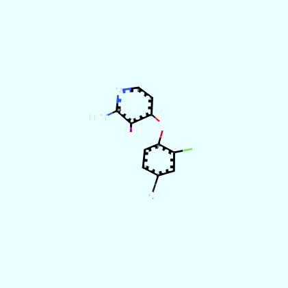 Nc1nccc(Oc2ccc(N=O)cc2F)c1I